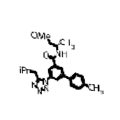 COC[C@H](C)NC(=O)c1cc(-c2ccc(C)cc2)cc(-n2nnnc2CC(C)C)c1